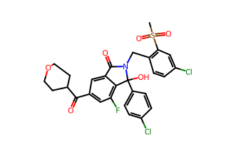 CS(=O)(=O)c1cc(Cl)ccc1CN1C(=O)c2cc(C(=O)C3CCOCC3)cc(F)c2C1(O)c1ccc(Cl)cc1